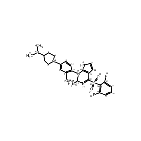 COc1cc(N2CCC(N(C)C)CC2)ccc1N1c2[nH]ccc2C(S(=O)(=O)c2c(F)cccc2F)=NC1N